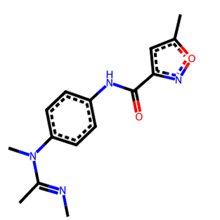 CN=C(C)N(C)c1ccc(NC(=O)c2cc(C)on2)cc1